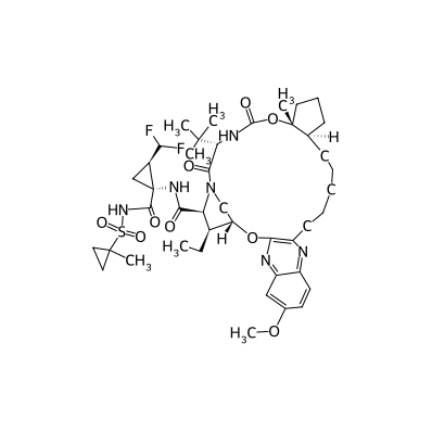 CC[C@@H]1[C@@H]2CN(C(=O)[C@H](C(C)(C)C)NC(=O)O[C@]3(C)CCC[C@H]3CCCCCc3nc4ccc(OC)cc4nc3O2)[C@@H]1C(=O)N[C@]1(C(=O)NS(=O)(=O)C2(C)CC2)C[C@H]1C(F)F